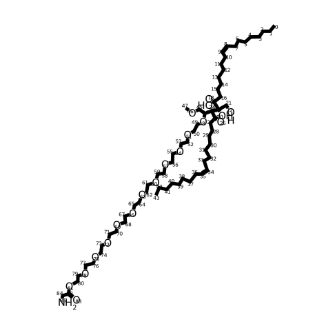 CCCCCCCC/C=C\CCCCCCCC(=O)C(O)(CO)C(O)(C(=O)CCCCCCC/C=C\CCCCCCCC)C(COC)OCCOCCOCCOCCOCCOCCOCCOCCOCCOCCOCCOC(=O)CN